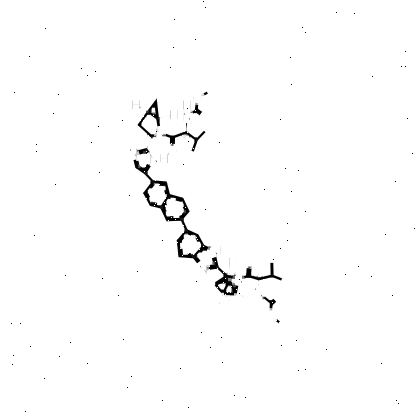 COC(=O)N[C@H](C(=O)N1[C@H](c2nc3ccc(-c4ccc5cc(-c6cnc([C@@H]7C[C@H]8C[C@H]8N7C(=O)[C@@H](NC(=O)OC)C(C)C)[nH]6)ccc5c4)cc3[nH]2)C2[C@@H]3[C@H]1[C@]23C)C(C)C